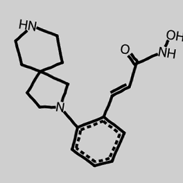 O=C(C=Cc1ccccc1N1CCC2(CCNCC2)C1)NO